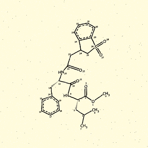 COC(=O)[C@H](CC(C)C)NC(=O)[C@H](Cc1ccccc1)NC(=O)CC1CS(=O)(=O)c2ccccc21